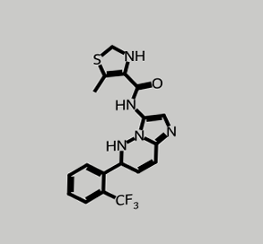 CC1=C(C(=O)Nc2cnc3n2NC(c2ccccc2C(F)(F)F)C=C3)NCS1